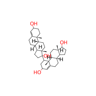 C[C@]12CCC(O)C=C1CC[C@@H]1[C@H]2CC[C@@]2(C)[C@H]1CCC2(O)C1CC(O)C=C2CC[C@@H]3[C@@H](CC[C@]4(C)C(O)CC[C@@H]34)[C@]21C